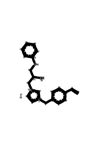 C=Cc1ccc(C[n+]2ccn(CC(O)COc3ccccc3)c2)cc1.[I-]